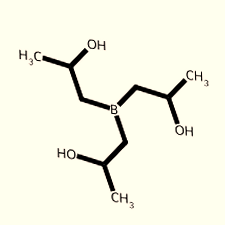 CC(O)CB(CC(C)O)CC(C)O